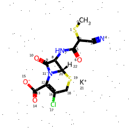 CSC(C#N)C(=O)NC1C(=O)N2C(C(=O)[O-])=C(Cl)CS[C@@H]12.[K+]